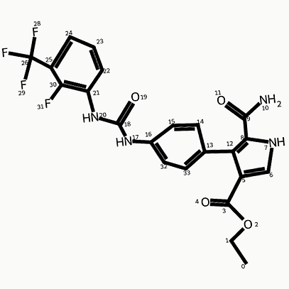 CCOC(=O)c1c[nH]c(C(N)=O)c1-c1ccc(NC(=O)Nc2cccc(C(F)(F)F)c2F)cc1